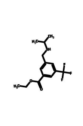 CCOC(=O)c1cc(CNC(C)C)cc(C(F)(F)F)c1